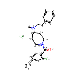 CN(CCc1ccccc1)C1CCN(C(=O)c2ccc([N+](=O)[O-])cc2F)CC1.Cl